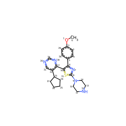 COc1ccc(-c2nc(N3CCNCC3)sc2-c2n[c]ncc2C2CCCC2)cc1